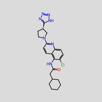 O=C(CC1CCCCC1)Nc1c(Cl)ccc2nc(N3CC[C@@H](c4nnn[nH]4)C3)ccc12